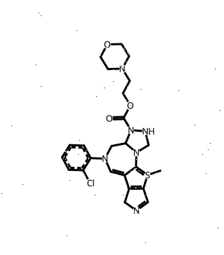 CS1=C2C(=CN(c3ccccc3Cl)CC3N2CNN3C(=O)OCCN2CCOCC2)C2=C1C=NC2